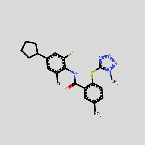 Cc1cc(C2CCCC2)cc(F)c1NC(=O)c1cc([N+](=O)[O-])ccc1Sc1nnnn1C